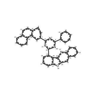 c1ccc(-c2nc(-c3ccc4ccc5ccccc5c4c3)nc(-c3cccc4oc5cc6ccccc6nc5c34)n2)cc1